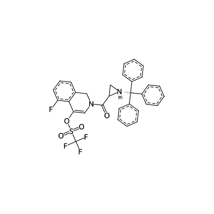 O=C(C1C[N@]1C(c1ccccc1)(c1ccccc1)c1ccccc1)N1C=C(OS(=O)(=O)C(F)(F)F)c2c(F)cccc2C1